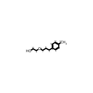 Cc1ccc(CCCOCCO)cc1